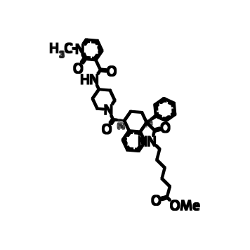 COC(=O)CCCCCNC(=O)[C@@]1(c2ccccc2)CC[C@H](C(=O)N2CCC(NC(=O)c3cccn(C)c3=O)CC2)c2ccccc21